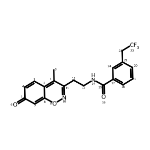 Cc1c2ccc(=O)cc-2onc1CCNC(=O)c1cccc(CC(F)(F)F)c1